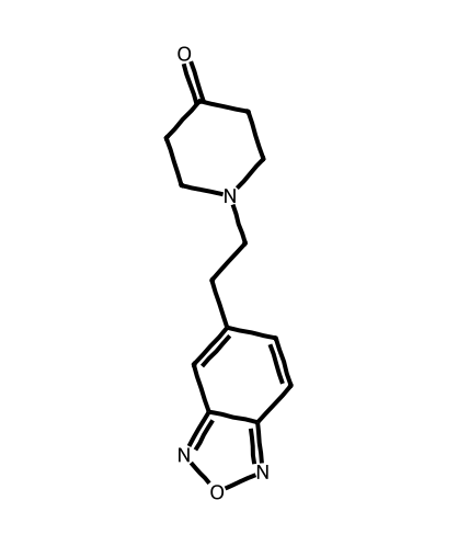 O=C1CCN(CCc2ccc3nonc3c2)CC1